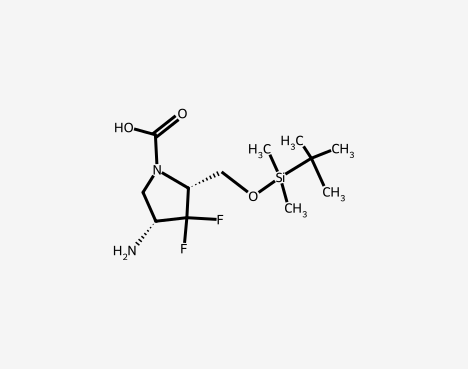 CC(C)(C)[Si](C)(C)OC[C@H]1N(C(=O)O)C[C@@H](N)C1(F)F